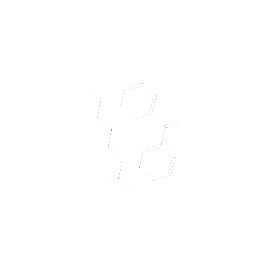 CCCC[CH]CC(C)O.O=C(c1ccccc1)c1ccccc1